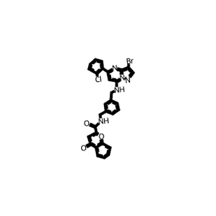 O=C(NCc1cccc(CNc2cc(-c3ccccc3Cl)nc3c(Br)cnn23)c1)c1cc(=O)c2ccccc2o1